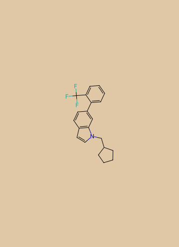 FC(F)(F)c1ccccc1-c1ccc2ccn(CC3CCCC3)c2c1